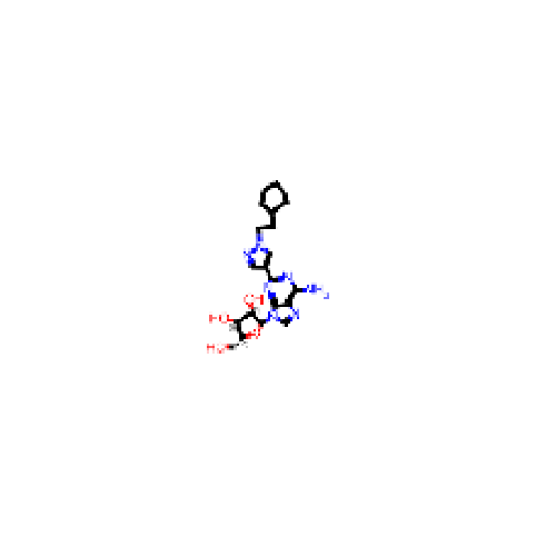 Nc1nc(-c2cnn(CCC3CCCCC3)c2)nc2c1ncn2C1O[C@H](CO)[C@@H](O)[C@H]1O